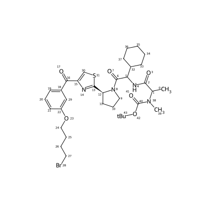 CC(C(=O)NC(C(=O)N1CCC[C@H]1c1nc(C(=O)c2cccc(OCCCCBr)c2)cs1)C1CCCCC1)N(C)C(=O)OC(C)(C)C